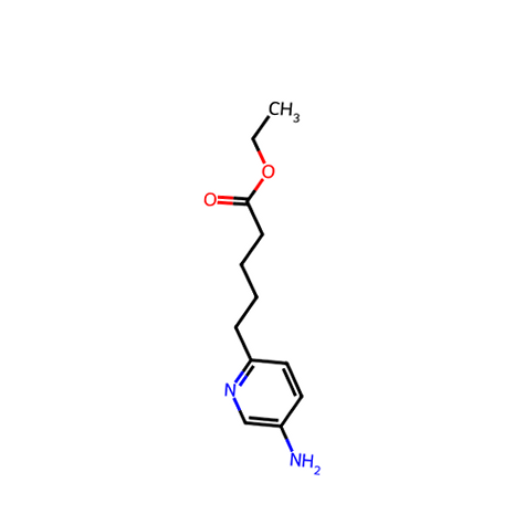 CCOC(=O)CCCCc1ccc(N)cn1